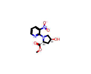 COC(=O)[C@H]1C[C@H](O)CN1c1ncccc1[N+](=O)[O-]